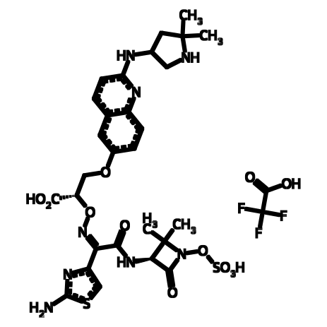 CC1(C)CC(Nc2ccc3cc(OC[C@H](O/N=C(\C(=O)N[C@@H]4C(=O)N(OS(=O)(=O)O)C4(C)C)c4csc(N)n4)C(=O)O)ccc3n2)CN1.O=C(O)C(F)(F)F